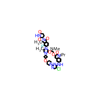 CNC(=O)COc1cc2cc(Nc3nc(N4CCC(OC5CC(N6CCN(c7ccc8c(c7F)[C@@H](C)N(C7CCC(=O)NC7=O)C8=O)[C@H](C)C6)C5)CC4)ncc3Cl)ccc2n(C(C)C)c1=O